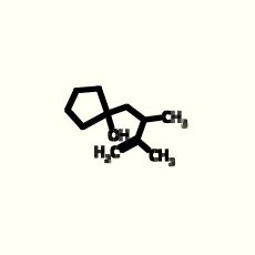 C=C(C)C(C)CC1(O)CCCC1